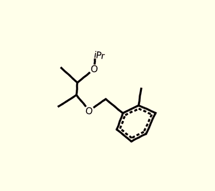 Cc1ccccc1COC(C)C(C)OC(C)C